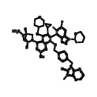 Cc1c(F)cc2c(cnn2C2CCCCO2)c1-c1c(C2CC2)c(OC2CCOCC2)c2c(N3C[C@@H]4C[C@H]3CN4C(=O)O)nc(C(C)(C)C)nc2c1OCc1ccc(Cn2c(=O)n(C)c3nccnc32)cc1